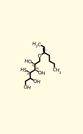 C/C=C(/CCCC)OC[C@H](O)[C@@H](O)[C@H](S)C(O)CO